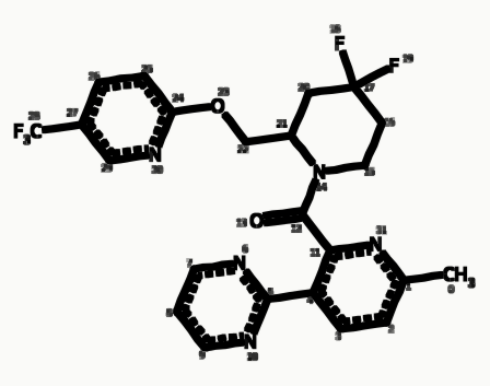 Cc1ccc(-c2ncccn2)c(C(=O)N2CCC(F)(F)CC2COc2ccc(C(F)(F)F)cn2)n1